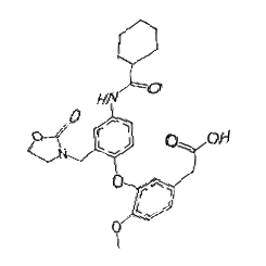 COc1ccc(CC(=O)O)cc1Oc1ccc(NC(=O)C2CCCCC2)cc1CN1CCOC1=O